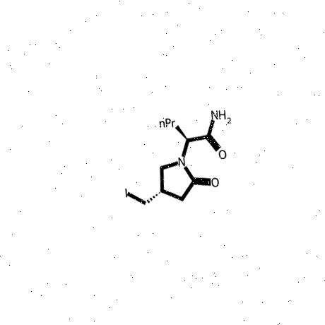 CCC[C@@H](C(N)=O)N1C[C@@H](CI)CC1=O